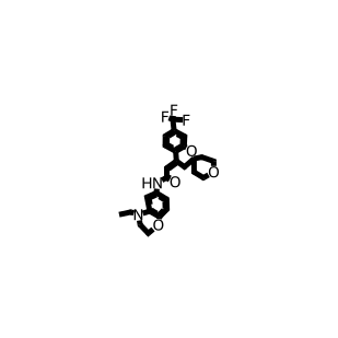 CCN1CCOc2ccc(NC(=O)C=C3CC4(CCOCC4)Oc4cc(C(F)(F)F)ccc43)cc21